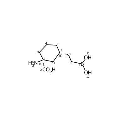 N[C@@]1(C(=O)O)CCC[C@H](CCB(O)O)C1